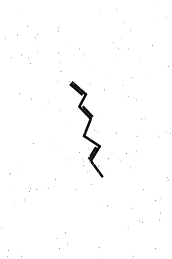 [CH]=CC=CCC=CC